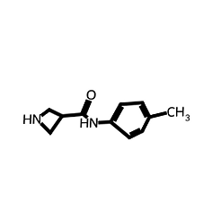 Cc1ccc(NC(=O)C2CNC2)cc1